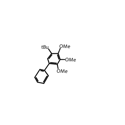 COc1c(-c2ccccc2)cc(C(C)(C)C)c(OC)c1OC